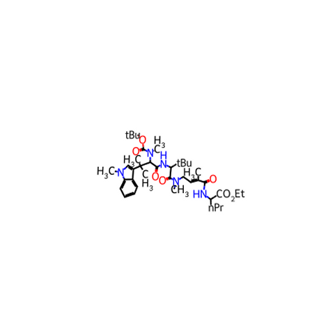 CCCC(NC(=O)/C(C)=C/CN(C)C(=O)C(NC(=O)C(N(C)C(=O)OC(C)(C)C)C(C)(C)c1cn(C)c2ccccc12)C(C)(C)C)C(=O)OCC